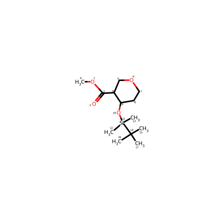 COC(=O)C1COCCC1O[Si](C)(C)C(C)(C)C